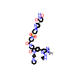 CC(C)n1cnc2cc(-c3ccc4c(c3)N(C3CC(N5CCCCC5)C3)C(=O)C43CCN(C(=O)C4CCN(S(=O)(=O)C5CCN(c6ccc([C@H]7CCC(=O)NC7=O)cn6)CC5)CC4)CC3)nc(NC3CC3)c21